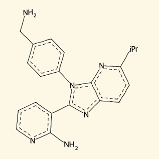 CC(C)c1ccc2nc(-c3cccnc3N)n(-c3ccc(CN)cc3)c2n1